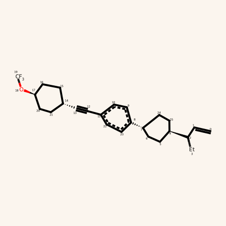 C=CC(CC)[C@H]1CC[C@H](c2ccc(C#C[C@H]3CC[C@H](OC(F)(F)F)CC3)cc2)CC1